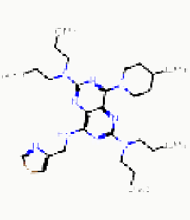 COCCN(CCOC)c1nc(N2CCC(OC)CC2)c2nc(N(CCOC)CCOC)nc(NCc3cscn3)c2n1